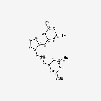 CC(C)(C)C1=CC(CNCC2CCCN2CC2C=C(I)C=C(I)C2)CC(C(C)(C)C)=C1